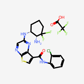 N[C@@H]1[C@H](Nc2cnc3scc(C(=O)Nc4ccccc4Cl)c3n2)CCCC1(F)F.O=C(O)C(F)(F)F